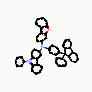 c1ccc(-n2c3ccccc3c3cc(N(c4ccc(C5(c6ccccc6)c6ccccc6-c6ccccc65)cc4)c4ccc5c(c4)oc4ccccc45)ccc32)cc1